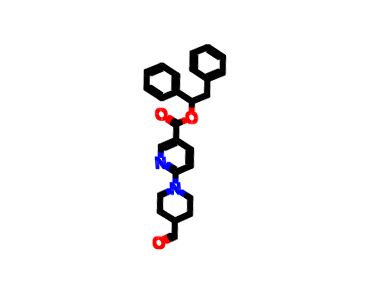 O=CC1CCN(c2ccc(C(=O)OC(Cc3ccccc3)c3ccccc3)cn2)CC1